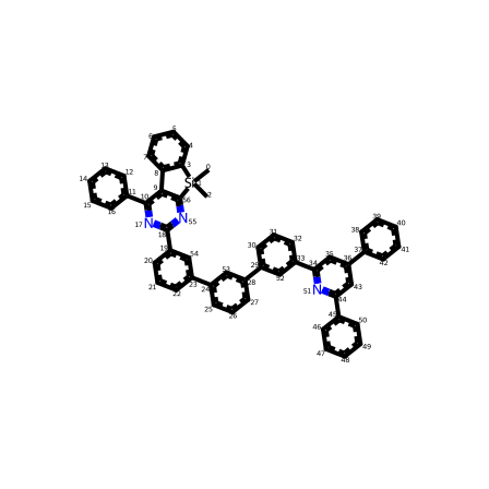 C[Si]1(C)c2ccccc2-c2c(-c3ccccc3)nc(-c3cccc(-c4cccc(-c5cccc(-c6cc(-c7ccccc7)cc(-c7ccccc7)n6)c5)c4)c3)nc21